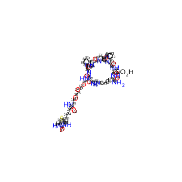 CC(C)C[C@@H]1NC(=O)[C@@H](NC(=O)COCCOCCOCCNC(=O)CCCC[C@H]2SC[C@H]3NC(=O)N[C@H]32)Cc2cn(nn2)CCCC[C@@H](C(N)=O)NC(=O)[C@H](CC(=O)O)NC(=O)[C@H](Cc2ccccc2)NC(=O)[C@@H]2CCCN2C(=O)[C@H](Cc2ccccc2)NC1=O